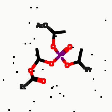 CCC(=O)OC(C)OP(=O)(OC(C)OC(C)=O)OC(C)C(C)C